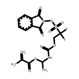 C=C(C)C(=O)OC(C)NC(=O)OCC(F)(F)S(=O)(=O)ON1C(=O)c2ccccc2C1=O